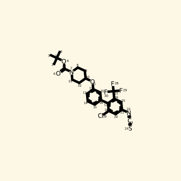 CC(C)(C)OC(=O)N1CCC(Oc2cccc(-c3c(Cl)cc(N=C=S)cc3C(F)(F)F)c2)CC1